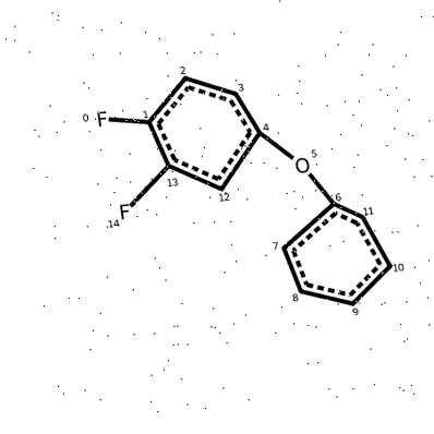 Fc1ccc(Oc2cc[c]cc2)cc1F